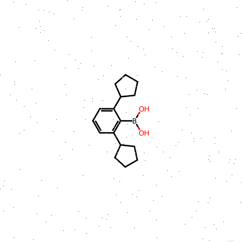 OB(O)c1c(C2CCCC2)cccc1C1CCCC1